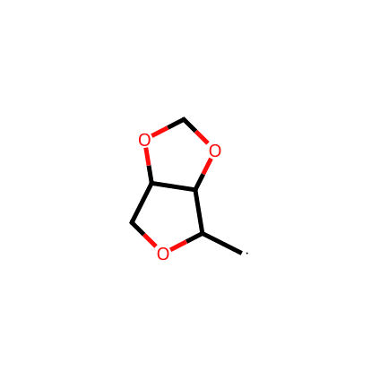 [CH2]C1OCC2OCOC12